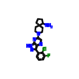 N[C@@H]1CCCC12CCN(c1cnc3c(-c4cccc(F)c4Cl)n[nH]c3n1)CC2